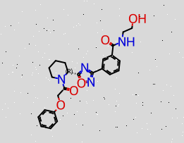 O=C(NCCO)c1cccc(-c2noc([C@H]3CCCCN3C(=O)COc3ccccc3)n2)c1